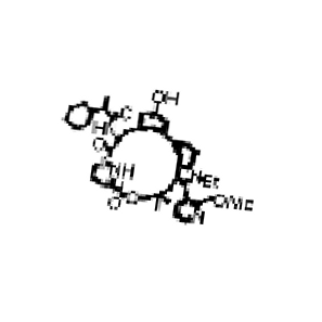 CCn1c(-c2cccnc2COC)c2c3cc(ccc31)-c1cc(O)cc(c1)C[C@H](NC(=O)C(C)C1CCCCC1)C(=O)N1CCC[C@H](N1)C(=O)OCC(C)(C)C2